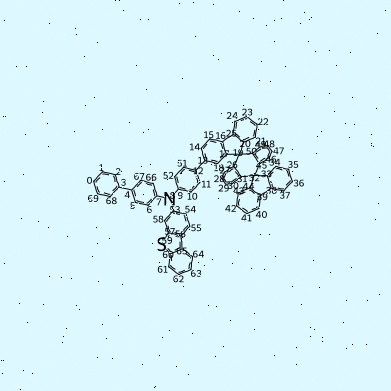 c1ccc(-c2ccc(N(c3ccc(-c4ccc5c(c4)C4(c6ccccc6-5)c5ccccc5C5(c6ccccc6-c6ccccc65)c5ccccc54)cc3)c3ccc4c(c3)sc3ccccc34)cc2)cc1